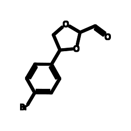 O=CC1OCC(c2ccc(Br)cc2)O1